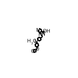 CN(c1ccc(Cc2nc(O)c3ccncc3n2)cc1)c1ccc(OC2CCOC2)cc1